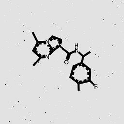 Cc1cc(C)n2ccc(C(=O)NC(C)c3ccc(C)c(F)c3)c2n1